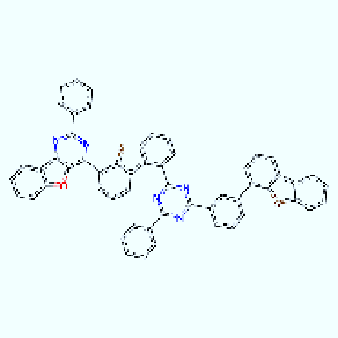 c1ccc(-c2nc(-c3cccc(-c4cccc5c4sc4ccccc45)c3)nc(-c3cccc4sc5c(-c6nc(-c7ccccc7)nc7c6oc6ccccc67)cccc5c34)n2)cc1